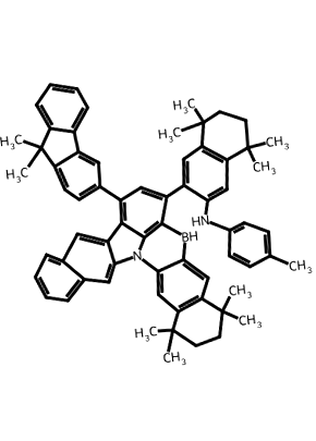 Cc1ccc(Nc2cc3c(cc2-c2cc(-c4ccc5c(c4)-c4ccccc4C5(C)C)c4c5cc6ccccc6cc5n5c4c2Bc2cc4c(cc2-5)C(C)(C)CCC4(C)C)C(C)(C)CCC3(C)C)cc1